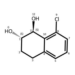 O[C@H]1CCc2cccc(Cl)c2[C@@H]1O